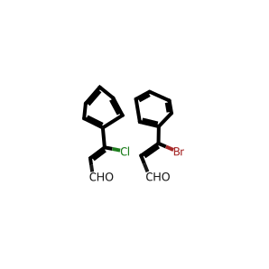 O=CC=C(Br)c1ccccc1.O=CC=C(Cl)c1ccccc1